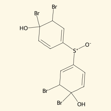 [O-][S+](C1=CC(Br)C(O)(Br)C=C1)C1=CC(Br)C(O)(Br)C=C1